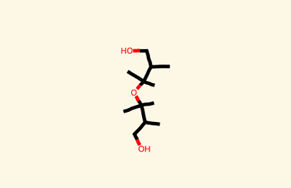 CC(CO)C(C)(C)OC(C)(C)C(C)CO